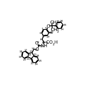 CC(C)(Oc1ccc(C[C@H](NC(=O)OCC2c3ccccc3-c3ccccc32)C(=O)O)cc1F)c1ccccc1